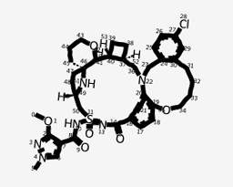 COc1nn(C)cc1C(=O)NS1(=O)=NC(=O)c2ccc3c(c2)N(Cc2ccc(Cl)cc2CCCCO3)C[C@@H]2CC[C@H]2[C@H]2OCCC[C@]23CC[C@@H](C1)N3